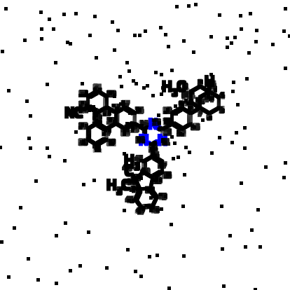 C[C@@H]1C[C@@H]2CCCC(c3ccc(-c4nc(-c5ccc(-c6cccc(C#N)c6)c(-c6ccccc6)c5)nc(-c5ccc6c(c5)C(C)(C)c5ccccc5-6)n4)cc3)(C1)C2